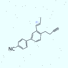 C#CCCc1ccc(-c2ccc(C#N)cc2)cc1/C=C/C